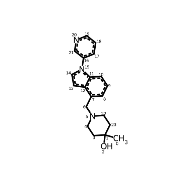 CC1(O)CCN(Cc2cccc3c2ccn3-c2cccnc2)CC1